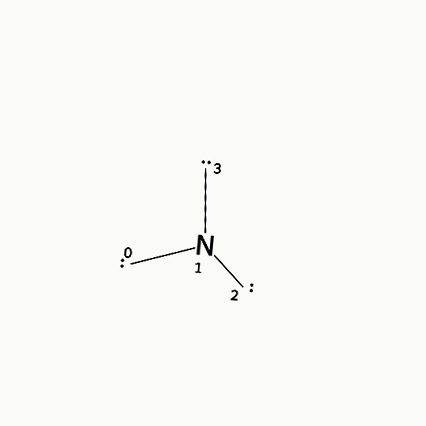 [CH]N([CH])[CH]